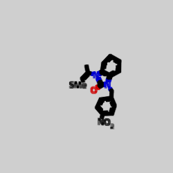 CS/C=C(/C)n1c(=O)n(Cc2ccc([N+](=O)[O-])cc2)c2ccccc21